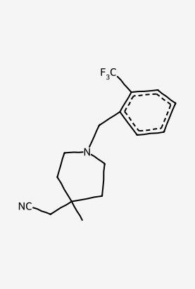 CC1(CC#N)CCN(Cc2ccccc2C(F)(F)F)CC1